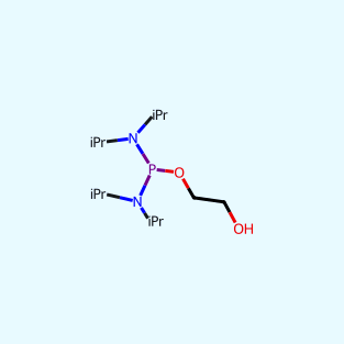 CC(C)N(C(C)C)P(OCCO)N(C(C)C)C(C)C